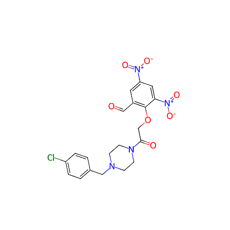 O=Cc1cc([N+](=O)[O-])cc([N+](=O)[O-])c1OCC(=O)N1CCN(Cc2ccc(Cl)cc2)CC1